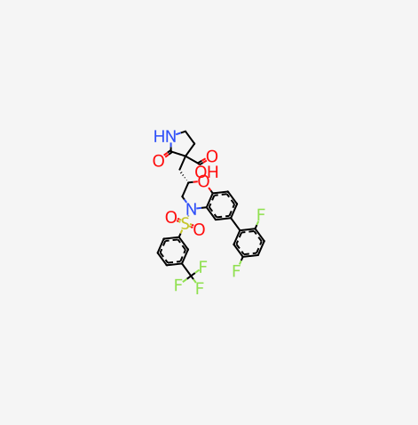 O=C(O)C1(C[C@H]2CN(S(=O)(=O)c3cccc(C(F)(F)F)c3)c3cc(-c4cc(F)ccc4F)ccc3O2)CCNC1=O